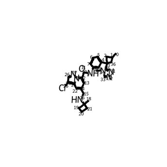 CC1CC(c2cccc(NC(=O)c3cc(CNC4(C)CCC4)cc4c(Cl)cnn34)c2)(c2nncn2C)C1